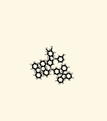 Cc1cccc(-n2c3cc(N(c4ccc(C5(c6ccccc6)c6ccccc6-c6ccccc65)cc4)c4cccc5c4-c4ccccc4[Si]54c5ccccc5-c5ccccc54)ccc3c3cc(C)c(C)cc32)c1